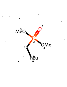 CC[CH]CCP(=O)(OC)OC